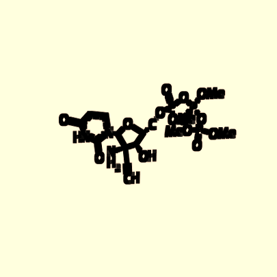 C#C[C@@]1(N)[C@H](O)[C@@H](COP(=O)(OC)OP(=O)(OC)OP(=O)(OC)OC)O[C@H]1n1ccc(=O)[nH]c1=O